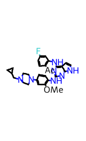 COc1cc(N2CCN(CC3CC3)CC2)ccc1Nc1nc(Nc2cc(F)ccc2C(C)=O)c2cc[nH]c2n1